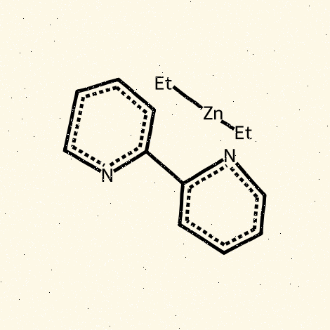 C[CH2][Zn][CH2]C.c1ccc(-c2ccccn2)nc1